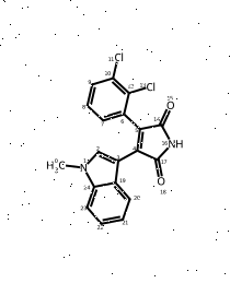 Cn1cc(C2=C(c3cccc(Cl)c3Cl)C(=O)NC2=O)c2ccccc21